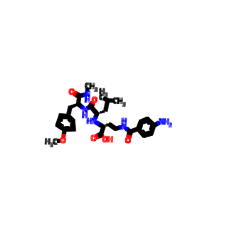 CNC(=O)[C@H](Cc1ccc(OC)cc1)NC(=O)[C@H](CC(C)C)N[C@H](CCNC(=O)c1ccc(N)cc1)C(=O)O